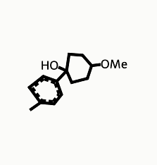 COC1CCC(O)(c2ccc(C)cc2)CC1